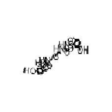 Cc1ccc(O)cc1S(=O)(=O)NC(=O)NCCOCCNC(=O)NS(=O)(=O)c1cc(O)ccc1C